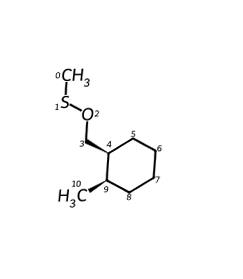 CSOC[C@H]1CCCC[C@H]1C